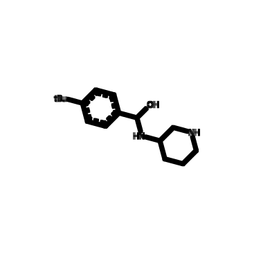 CC(C)(C)c1ccc(C(O)NC2CCCNC2)cc1